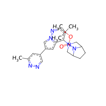 Cc1cc(-c2cc3c(N4CC5CCC(C4)N5C(=O)OC(C)(C)C)ccnn3c2)cnn1